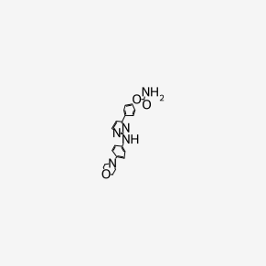 NC(=O)Oc1ccc(-c2ccnc(Nc3ccc(N4CCOCC4)cc3)n2)cc1